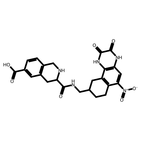 O=C(O)c1ccc2c(c1)CC(C(=O)NCC1CCc3c([N+](=O)[O-])cc4[nH]c(=O)c(=O)[nH]c4c3C1)NC2